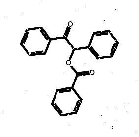 O=C(OC(C(=O)c1ccccc1)c1ccccc1)c1ccccc1